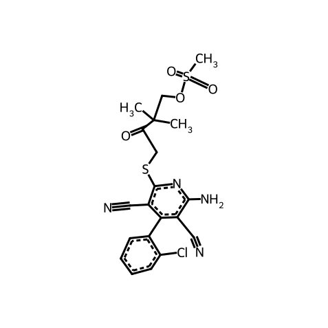 CC(C)(COS(C)(=O)=O)C(=O)CSc1nc(N)c(C#N)c(-c2ccccc2Cl)c1C#N